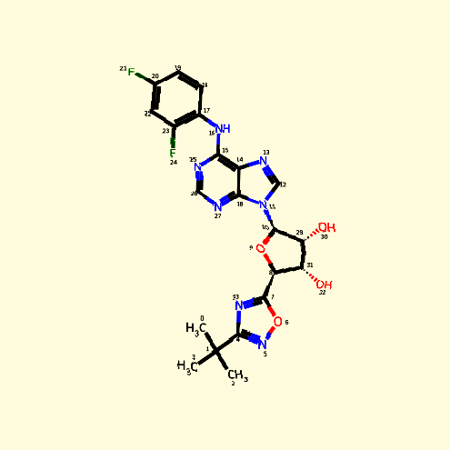 CC(C)(C)c1noc([C@H]2O[C@@H](n3cnc4c(Nc5ccc(F)cc5F)ncnc43)[C@H](O)[C@@H]2O)n1